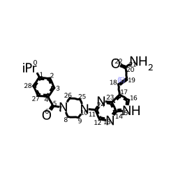 CC(C)c1ccc(C(=O)N2CCN(c3cnc4[nH]cc(/C=C/C(N)=O)c4n3)CC2)cc1